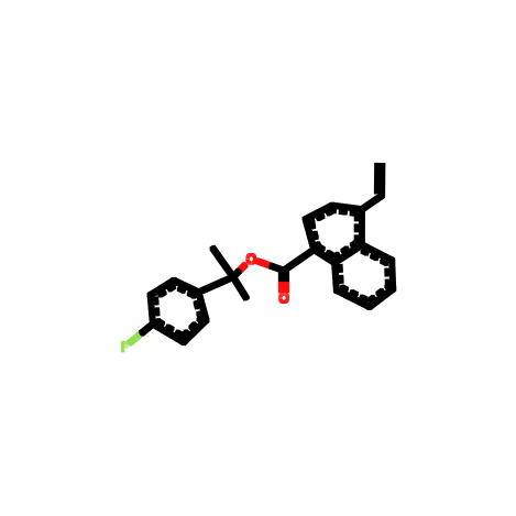 C=Cc1ccc(C(=O)OC(C)(C)c2ccc(F)cc2)c2ccccc12